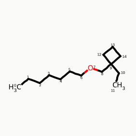 CCCCCCCOCC1(CC)CCC1